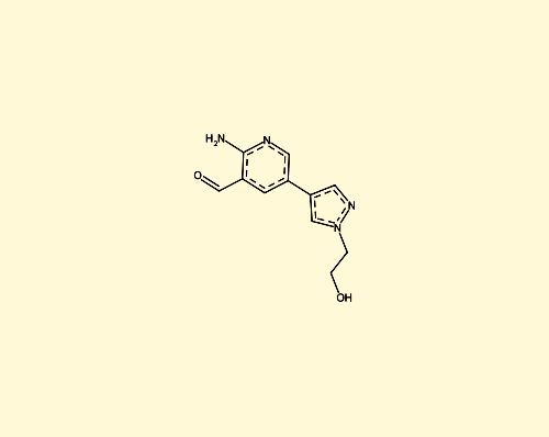 Nc1ncc(-c2cnn(CCO)c2)cc1C=O